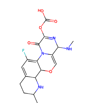 CNC1N=C(OC(=O)O)C(=O)N2C1=COC1C2=C(F)C=C2CCC(C)NC21